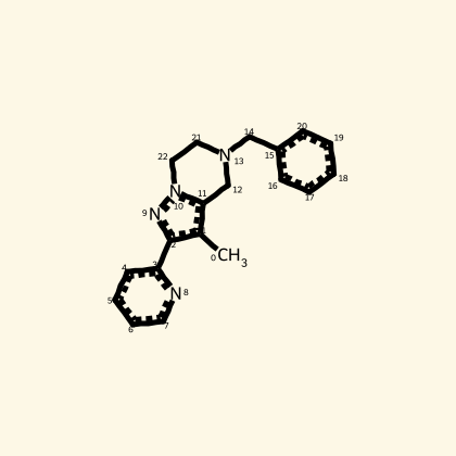 Cc1c(-c2ccccn2)nn2c1CN(Cc1ccccc1)CC2